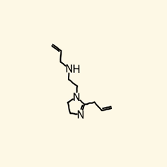 C=CCNCCN1CCN=C1CC=C